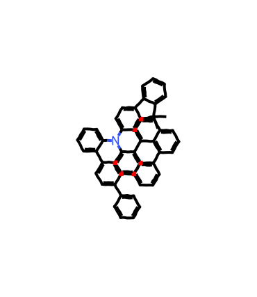 CC1(C)c2ccccc2-c2ccc(N(c3ccccc3-c3ccc(-c4ccccc4)cc3)c3ccccc3-c3cccc4cccc(-c5ccccc5)c34)cc21